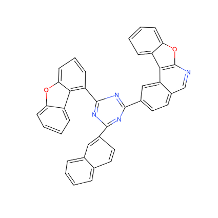 c1ccc2cc(-c3nc(-c4ccc5cnc6oc7ccccc7c6c5c4)nc(-c4cccc5oc6ccccc6c45)n3)ccc2c1